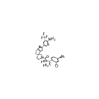 C[C@@H](NC(=O)N1CCC2(CCn3nc(-c4cnc(N)c(C(F)(F)F)c4)cc32)C1)c1ccc(C#N)cc1Cl